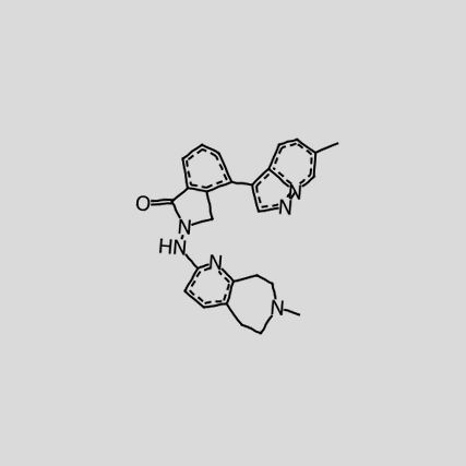 Cc1ccc2c(-c3cccc4c3CN(Nc3ccc5c(n3)CCN(C)CC5)C4=O)cnn2c1